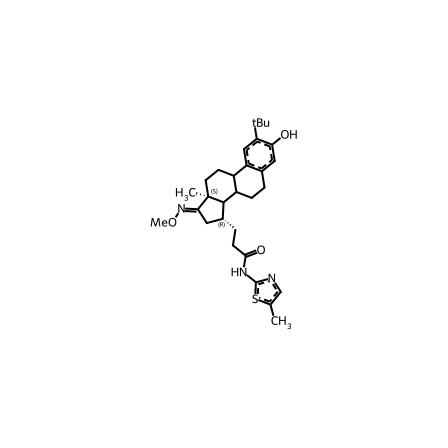 CON=C1C[C@@H](CCC(=O)Nc2ncc(C)s2)C2C3CCc4cc(O)c(C(C)(C)C)cc4C3CC[C@]12C